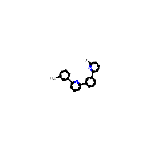 Cc1cccc(-c2cccc(-c3cccc(-c4cccc(C)n4)c3)n2)c1